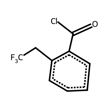 O=C(Cl)c1ccccc1CC(F)(F)F